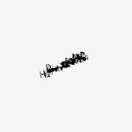 O=C(O)CCCCOc1ccc(-c2ccc(-c3ncc(C(F)(F)F)[nH]3)cn2)cc1